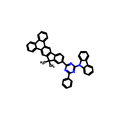 CC1(C)c2cc(-c3nc(-c4ccccc4)nc(-n4c5ccccc5c5ccccc54)n3)ccc2-c2cc3c4ccccc4c4ccccc4c3cc21